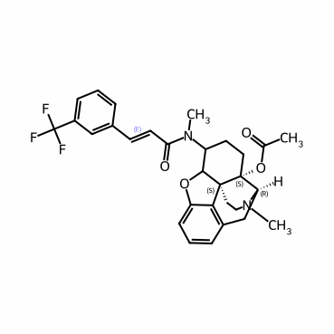 CC(=O)O[C@@]12CCC(N(C)C(=O)/C=C/c3cccc(C(F)(F)F)c3)C3Oc4cccc5c4[C@@]31CCN(C)[C@@H]2C5